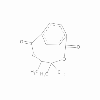 CC1OC(=O)c2ccc(cc2)C(=O)OC1(C)C